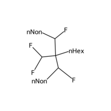 [CH2]CCCCCC(C(F)F)(C(F)CCCCCCCCC)C(F)CCCCCCCCC